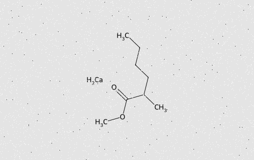 CCCCC(C)C(=O)OC.[CaH2]